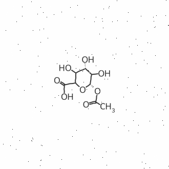 CC(=O)O[C@@H]1OC(C(=O)O)C(O)[C@H](O)C1O